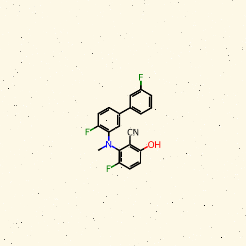 CN(c1cc(-c2cccc(F)c2)ccc1F)c1c(F)ccc(O)c1C#N